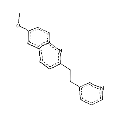 COc1ccc2nc(CCc3cccnc3)ccc2c1